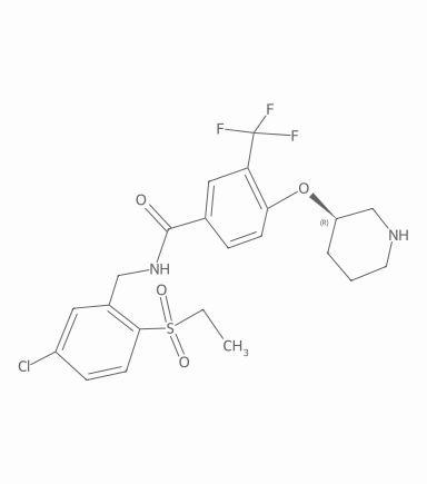 CCS(=O)(=O)c1ccc(Cl)cc1CNC(=O)c1ccc(O[C@@H]2CCCNC2)c(C(F)(F)F)c1